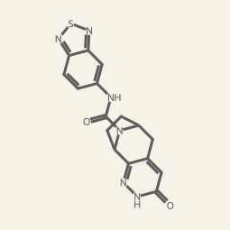 O=C(Nc1ccc2nsnc2c1)N1C2CCC1c1n[nH]c(=O)cc1C2